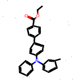 CCOC(=O)c1ccc(-c2ccc(N(c3ccccc3)c3cccc(C)c3)cc2)cc1